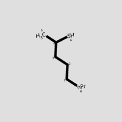 CCCCCCC(C)S